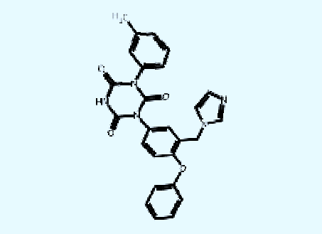 Cc1cccc(-n2c(=O)[nH]c(=O)n(-c3ccc(Oc4ccccc4)c(Cn4ccnc4)c3)c2=O)c1